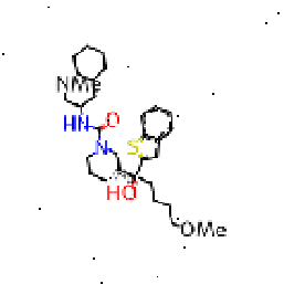 CNCC(CC1CCCCC1)NC(=O)N1CCC[C@@H]([C@@](O)(CCCCOC)c2cc3ccccc3s2)C1